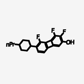 CCCC1CCC(c2ccc3c(c2F)-c2c-3cc(O)c(F)c2F)CC1